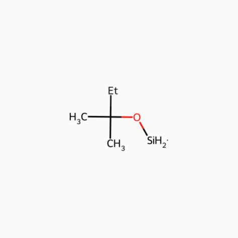 CCC(C)(C)O[SiH2]